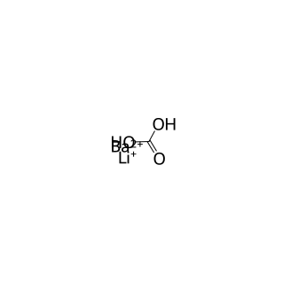 O=C(O)O.[Ba+2].[Li+]